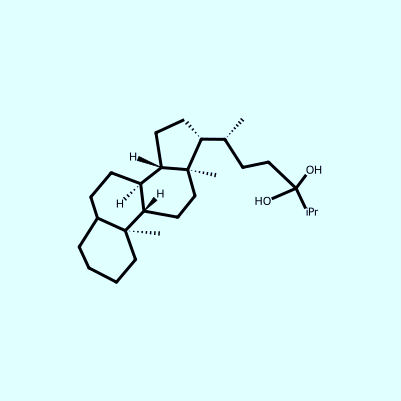 CC(C)C(O)(O)CC[C@@H](C)[C@H]1CC[C@H]2[C@@H]3CCC4CCCC[C@]4(C)[C@H]3CC[C@]12C